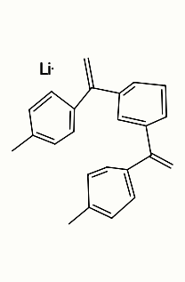 C=C(c1ccc(C)cc1)c1cccc(C(=C)c2ccc(C)cc2)c1.[Li]